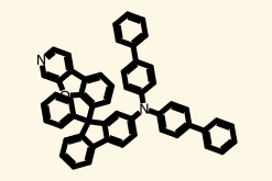 c1ccc(-c2ccc(N(c3ccc(-c4ccccc4)cc3)c3ccc4c(c3)C(c3ccccc3)(c3cccc5c3oc3cnccc35)c3ccccc3-4)cc2)cc1